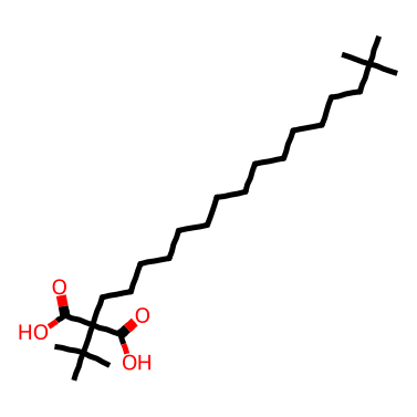 CC(C)(C)CCCCCCCCCCCCCCC(C(=O)O)(C(=O)O)C(C)(C)C